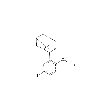 COc1ccc(I)cc1C1C2CC3CC(C2)CC1C3